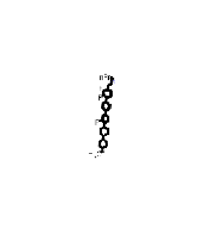 C=CC1CCC(C2CCC(c3ccc(-c4ccc(-c5ccc(C/C=C\CCC)c(F)c5F)cc4)cc3F)CC2)CC1